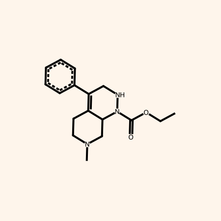 CCOC(=O)N1NCC(c2ccccc2)=C2CCN(C)CC21